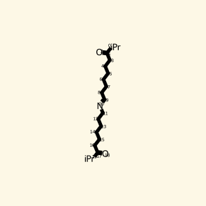 CC(C)C(=O)CCCCCC/C=N/CCCCCCC(=O)C(C)C